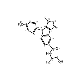 CCC(CO)NC(=O)c1ccc2c(c1)c1nnn(C)c1n2-c1ccc(C(F)(F)F)nc1